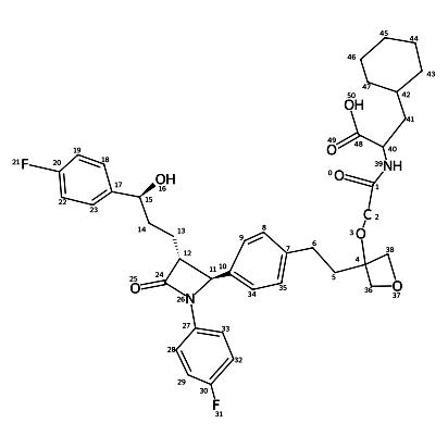 O=C(COC1(CCc2ccc([C@@H]3[C@@H](CC[C@H](O)c4ccc(F)cc4)C(=O)N3c3ccc(F)cc3)cc2)COC1)NC(CC1CCCCC1)C(=O)O